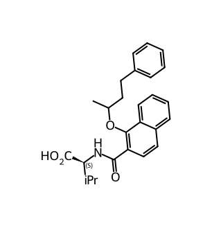 CC(CCc1ccccc1)Oc1c(C(=O)N[C@H](C(=O)O)C(C)C)ccc2ccccc12